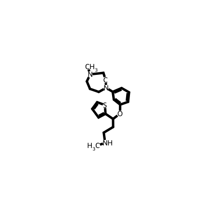 CNCCC(Oc1cccc(N2CCCN(C)CC2)c1)c1cccs1